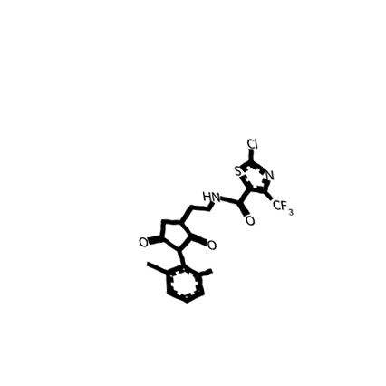 Cc1cccc(C)c1C1C(=O)CC(CCNC(=O)c2sc(Cl)nc2C(F)(F)F)C1=O